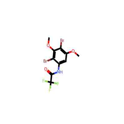 COc1cc(NC(=O)C(F)(F)F)c(Br)c(OC)c1Br